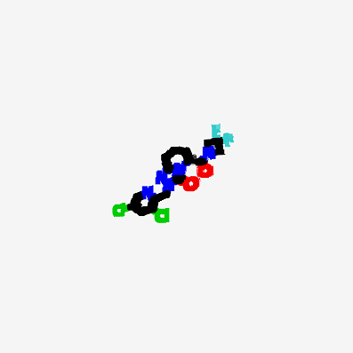 O=C([C@@H]1CCCc2nn(Cc3ncc(Cl)cc3Cl)c(=O)n21)N1CC(F)(F)C1